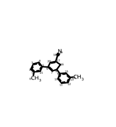 Cc1cccc(C2=CC(c3cccc(C)c3)CC(C#N)=C2)c1